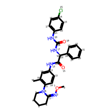 CO/N=C1/CCCCN1c1ccc(NC(=O)[C@@H](NC(=O)Nc2ccc(Cl)cc2)c2ccccc2)cc1C